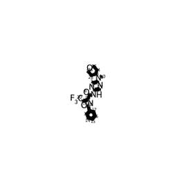 CN(c1cnc(NC(=O)c2nc(-c3ccccc3)oc2C(F)(F)F)cn1)C1CCOCC1